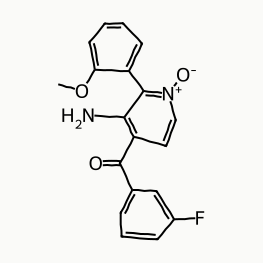 COc1ccccc1-c1c(N)c(C(=O)c2cccc(F)c2)cc[n+]1[O-]